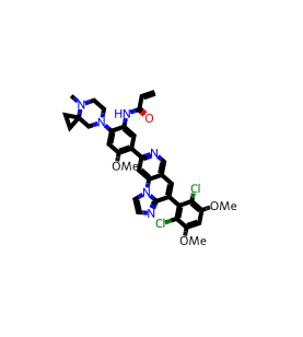 C=CC(=O)Nc1cc(-c2cc3c(cn2)cc(-c2c(Cl)c(OC)cc(OC)c2Cl)c2nccn23)c(OC)cc1N1CCN(C)C2(CC2)C1